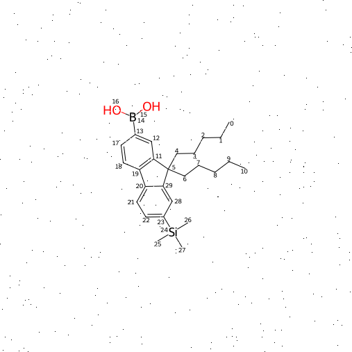 CCCCCC1(CCCCC)c2cc(B(O)O)ccc2-c2ccc([Si](C)(C)C)cc21